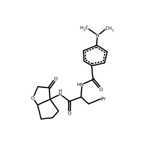 CC(C)CC(NC(=O)c1ccc(N(C)C)cc1)C(=O)NC12CCCC1OCC2=O